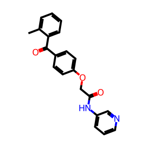 Cc1ccccc1C(=O)c1ccc(OCC(=O)Nc2cccnc2)cc1